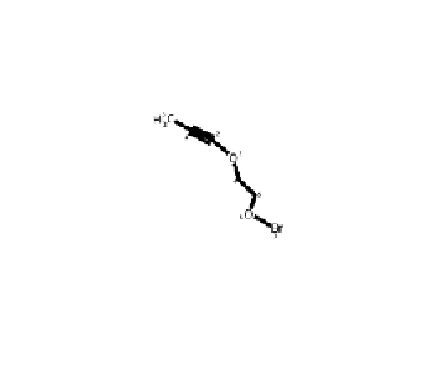 CC#COCCOBr